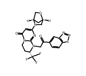 O=C(CN1c2nc(N3C[C@@H]4C[C@H]3CO4)cc(=O)n2CC[C@H]1C(F)(F)F)c1ccc2snnc2c1